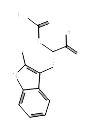 CC(=O)N[C@@H](Cc1c(C)[nH]c2ccccc12)C(=O)O